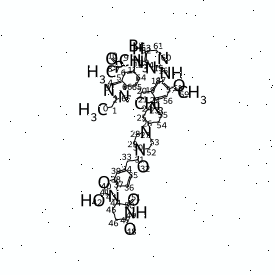 CCc1ncc2c(P(C)(C)=O)c(Nc3nc(Nc4cc(CC)c(N5CCC(N6CCN(C(=O)Cc7ccc8c(c7)OC(O)N8C7CCC(=O)NC7=O)CC6)CC5)cc4OC)ncc3Br)ccc2n1